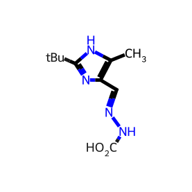 Cc1[nH]c(C(C)(C)C)nc1C=NNC(=O)O